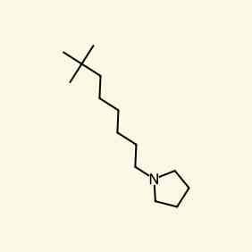 CC(C)(C)CCCCCCN1CCCC1